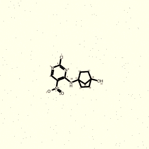 O=[N+]([O-])c1cnc(Cl)nc1NC12CCC(O)(CC1)C2